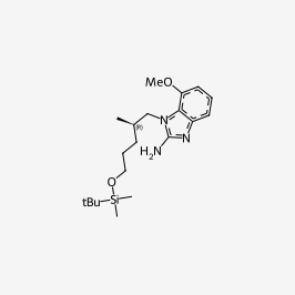 COc1cccc2nc(N)n(C[C@H](C)CCCO[Si](C)(C)C(C)(C)C)c12